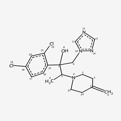 C=C1CCN(C(C)C(O)(Cn2cncn2)c2ccc(Cl)cc2Cl)CC1